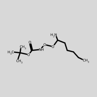 CCCCCC(N)OONC(=O)OC(C)(C)C